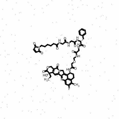 CC[C@@]1(O)C(=O)OCc2c1cc1n(c2=O)Cc2c-1nc1cc(F)c(C)c3c1c2[C@@H](NC(=O)COCNC(=O)CNC(=O)[C@@H](Cc1ccccc1)NC(=O)CNC(=O)CNC(=O)CCCCCN1C(=O)C=CC1=O)CC3